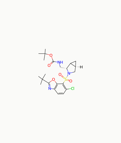 CC(C)(C)OC(=O)NC[C@@H]1C2C[C@H]2CN1S(=O)(=O)c1c(Cl)ccc2nc(C(C)(C)C)oc12